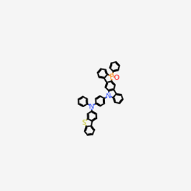 O=P1(c2ccccc2)c2ccccc2-c2cc3c(cc21)c1ccccc1n3-c1ccc(N(c2ccccc2)c2ccc3c(c2)sc2ccccc23)cc1